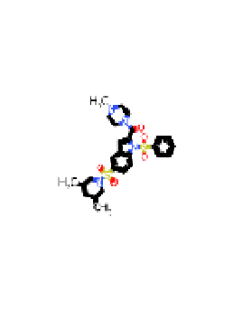 CC1CC(C)CN(S(=O)(=O)c2ccc3c(c2)cc(C(=O)N2CCN(C)CC2)n3S(=O)(=O)c2ccccc2)C1